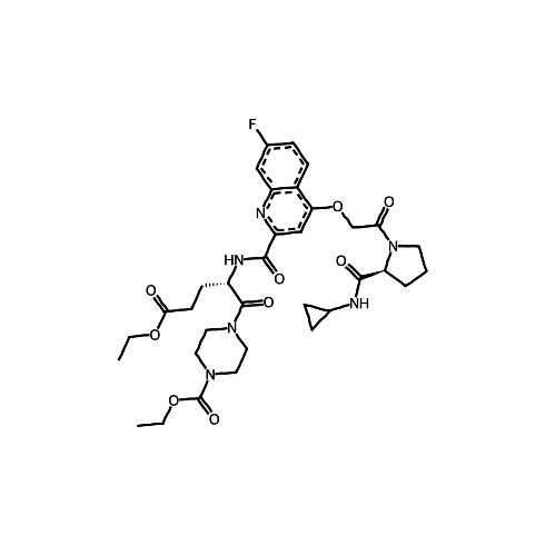 CCOC(=O)CC[C@H](NC(=O)c1cc(OCC(=O)N2CCC[C@H]2C(=O)NC2CC2)c2ccc(F)cc2n1)C(=O)N1CCN(C(=O)OCC)CC1